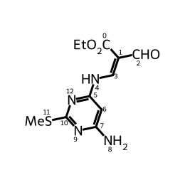 CCOC(=O)/C(C=O)=C\Nc1cc(N)nc(SC)n1